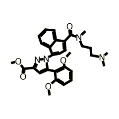 COC(=O)c1cc(-c2c(OC)cccc2OC)n(-c2ccc(C(=O)N(C)CCCN(C)C)c3ccccc23)n1